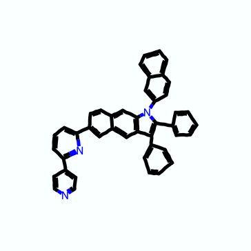 c1ccc(-c2c(-c3ccccc3)n(-c3ccc4ccccc4c3)c3cc4ccc(-c5cccc(-c6ccncc6)n5)cc4cc23)cc1